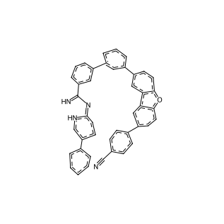 N#Cc1ccc(-c2ccc3oc4ccc(-c5cccc(-c6cccc(C(=N)/N=c7/ccc(-c8ccccc8)c[nH]7)c6)c5)cc4c3c2)cc1